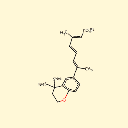 CCOC(=O)C=C(C)C=CC=C(C)c1ccc2c(c1)C(SC)(SC)CCO2